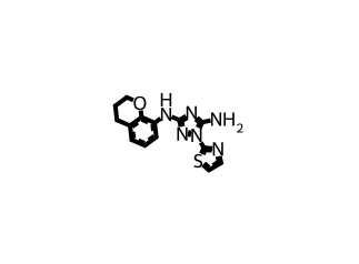 Nc1nc(Nc2cccc3c2OCCC3)nn1-c1nccs1